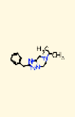 CC(C)N1CCn2nc(Cc3ccccc3)nc2C1